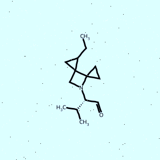 CCC1CC12CN([C@H](C=O)C(C)C)C21CC1